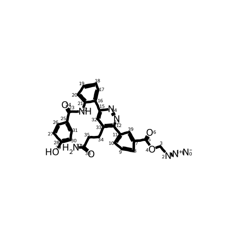 [N-]=[N+]=NCOC(=O)c1cccc(-c2nnc(-c3ccccc3NC(=O)c3ccc(O)cc3)cc2CCC(N)=O)c1